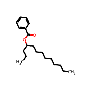 CCCCCCCCCC(CCC)OC(=O)c1ccccc1